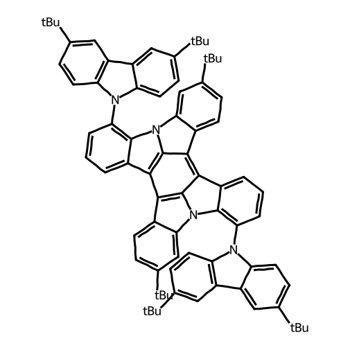 CC(C)(C)c1ccc2c(c1)c1cc(C(C)(C)C)ccc1n2-c1cccc2c3c4c5ccc(C(C)(C)C)cc5n5c6c(-n7c8ccc(C(C)(C)C)cc8c8cc(C(C)(C)C)ccc87)cccc6c(c6c7ccc(C(C)(C)C)cc7n(c12)c63)c45